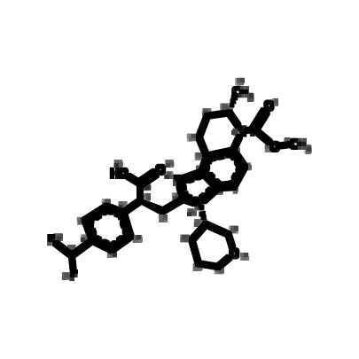 COC(=O)N1c2ccc3c(nc(C[C@H](C(=O)O)c4ccc(C(F)F)cc4)n3[C@H]3CCCOC3)c2CC[C@@H]1C